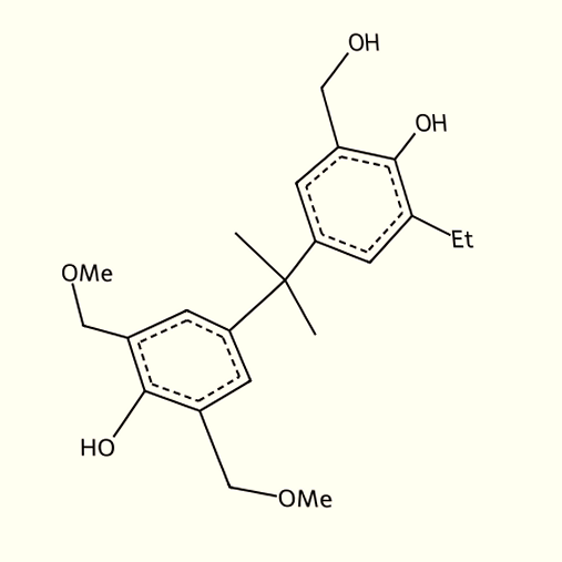 CCc1cc(C(C)(C)c2cc(COC)c(O)c(COC)c2)cc(CO)c1O